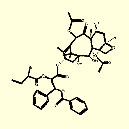 CCC(Br)C(=O)O[C@@H](C(=O)O[C@H]1C[C@@]2(O)[C@@H](O)[C@@H]3[C@]4(OC(C)=O)CO[C@@H]4C[C@H](O)[C@@]3(C)C(=O)[C@H](OC(C)=O)C(=C1C)C2(C)C)[C@@H](NC(=O)c1ccccc1)c1ccccc1